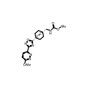 COc1ccc(-c2noc([C@]34CC[C@](CNC(=O)OC(C)(C)C)(CC3)CC4)n2)nn1